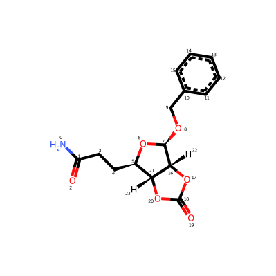 NC(=O)CC[C@H]1O[C@@H](OCc2ccccc2)[C@@H]2OC(=O)O[C@@H]21